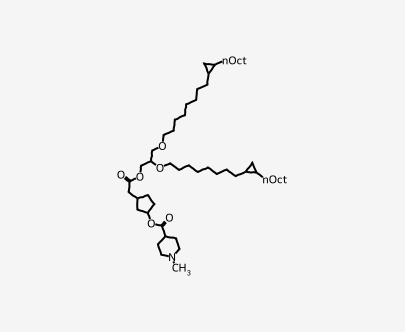 CCCCCCCCC1CC1CCCCCCCCOCC(COC(=O)CC1CCC(OC(=O)C2CCN(C)CC2)C1)OCCCCCCCCC1CC1CCCCCCCC